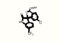 COC(=O)c1ccc(Cl)cc1C1(F)C(=O)Nc2cc(C(F)(F)F)ccc21